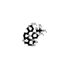 Cc1ccc(-c2ccc3ncc4c(c3n2)N(C2CCN(C(=O)C(C)(C)N)CC2)C(=O)NC4)cn1